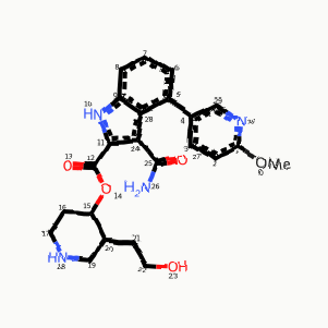 COc1ccc(-c2cccc3[nH]c(C(=O)OC4CCNCC4CCO)c(C(N)=O)c23)cn1